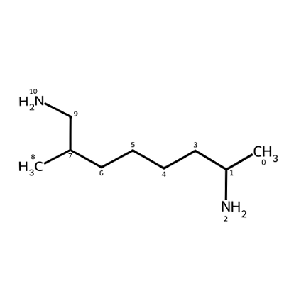 CC(N)CCCCC(C)CN